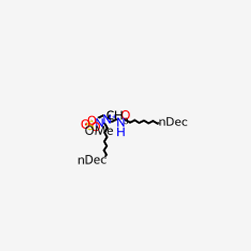 CCCCCCCCCCCCCCCCCC(=O)NCC[N+]1(C)CCN(OS(=O)(=O)OC)C1CCCCCCCCCCCCCCCCC